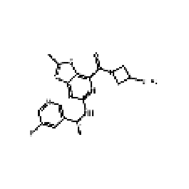 CC(=O)NC1CN(C(=O)c2nc(N[C@@H](C)c3cncc(F)c3)nc3nc(C)sc23)C1